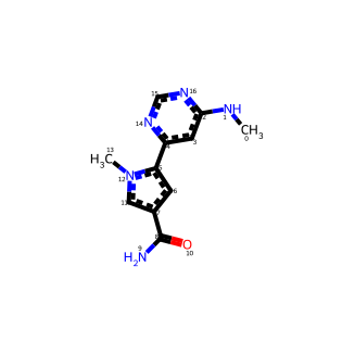 CNc1cc(-c2cc(C(N)=O)cn2C)ncn1